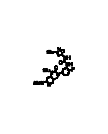 CNc1cc2c(cn1)CN(c1ccc(F)c(NC(=O)Nc3cc(C(C)(C)C)no3)c1)C(=O)N2C(C)(C)C